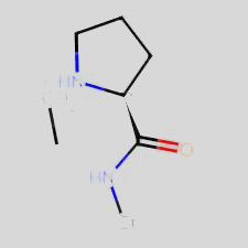 CC(=O)O.CCNC(=O)[C@@H]1CCCN1